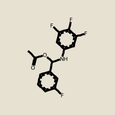 CC(=O)OC(Nc1cc(F)c(F)c(F)c1)c1cccc(F)c1